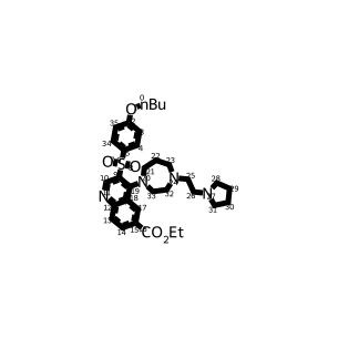 CCCCOc1ccc(S(=O)(=O)c2cnc3ccc(C(=O)OCC)cc3c2N2CCCN(CCN3CCCC3)CC2)cc1